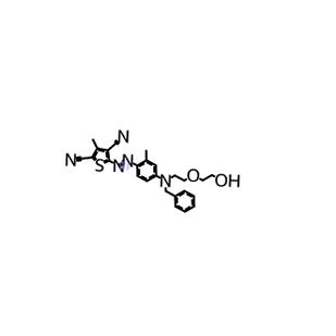 Cc1cc(N(CCOCCO)Cc2ccccc2)ccc1/N=N/c1sc(C#N)c(C)c1C#N